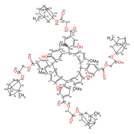 COc1cc(O)c2cc1C(c1ccc(C(=O)OCC(=O)OC34CC5CC(CC(C)(C5)C3)C4)cc1)c1cc(c(OC)cc1O)C(c1ccc(C(=O)OCC(=O)OC34CC5CC(CC(C)(C5)C3)C4)cc1)c1cc(c(OC)cc1O)C(c1ccc(C(=O)OCC(=O)OC34CC5CC(CC(C)(C5)C3)C4)cc1)c1cc(c(OC)cc1O)C2c1ccc(C(=O)OCC(=O)OC23CC4CC(CC(C)(C4)C2)C3)cc1